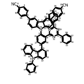 N#Cc1ccc(-c2ccc3c(c2)c2cc(-c4ccc(C#N)cc4)ccc2n3-c2ccc(-c3cccc4c3c3ccccc3n4-c3ccccc3)cc2-c2nc(-c3ccccc3)nc(-c3ccccc3)n2)cc1